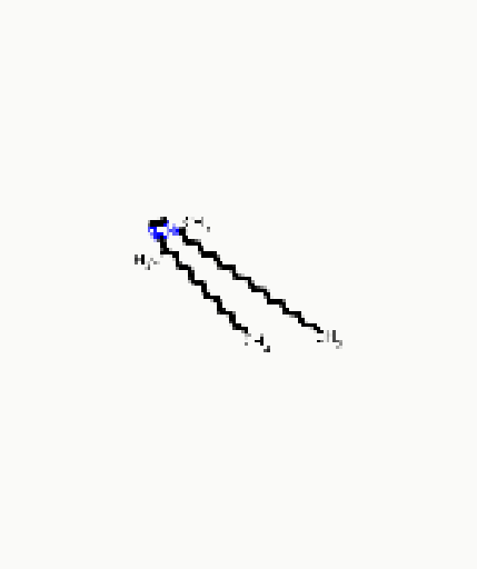 CCCCCCCCCCCCCCCCCC(C)n1ccnc1C(C)CCCCCCCCCCCC